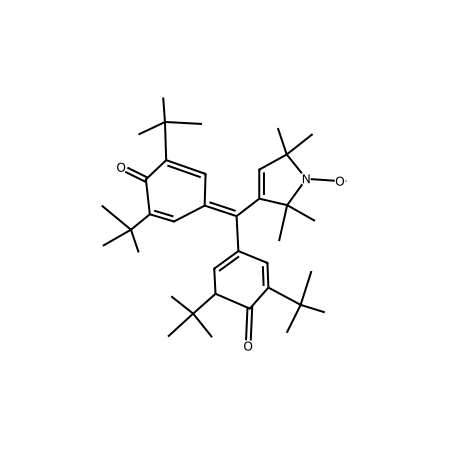 CC(C)(C)C1=CC(=C(C2=CC(C(C)(C)C)C(=O)C(C(C)(C)C)=C2)C2=CC(C)(C)N([O])C2(C)C)C=C(C(C)(C)C)C1=O